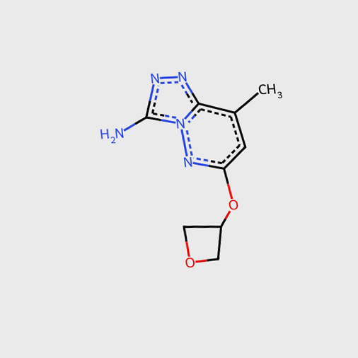 Cc1cc(OC2COC2)nn2c(N)nnc12